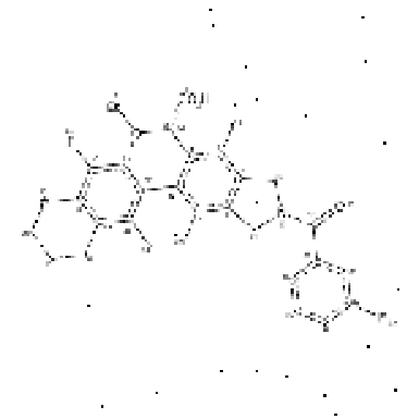 CCO[C@H](C(=O)O)c1c(C)c2c(c(C)c1-c1cc(F)c3c(c1C)CCCO3)CN(C(=O)c1cccc(F)c1)C2